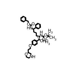 CC(C)(C)OC(=O)NN(CCCC(NC(=O)OCc1ccccc1)c1ccccc1)C(O)c1ccc(OCCC2CNCCO2)cc1